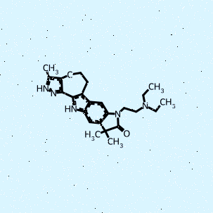 CCN(CC)CCN1C(=O)C(C)(C)c2cc3[nH]c4c(c3cc21)CCCc1c-4n[nH]c1C